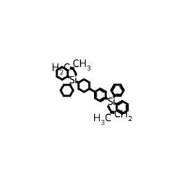 C=C(C)C[Si](c1ccccc1)(c1ccccc1)c1ccc(C2CCC([Si](CC(=C)C)(C3CCCCC3)C3CCCCC3)CC2)cc1